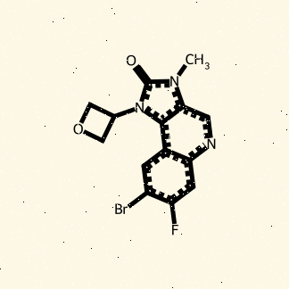 Cn1c(=O)n(C2COC2)c2c3cc(Br)c(F)cc3ncc21